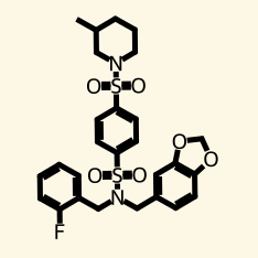 CC1CCCN(S(=O)(=O)c2ccc(S(=O)(=O)N(Cc3ccc4c(c3)OCO4)Cc3ccccc3F)cc2)C1